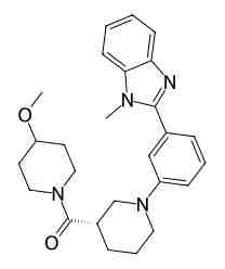 COC1CCN(C(=O)[C@H]2CCCN(c3cccc(-c4nc5ccccc5n4C)c3)C2)CC1